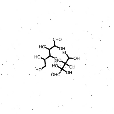 CCC(O)C(O)(O)C(O)(O)C=O.O=CC(O)C(O)C(O)C(O)CO